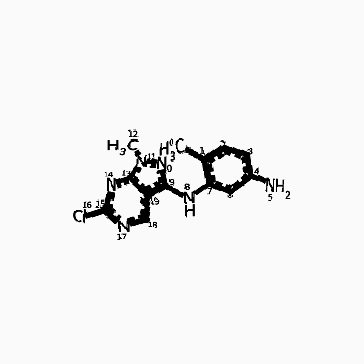 Cc1ccc(N)cc1Nc1nn(C)c2nc(Cl)ncc12